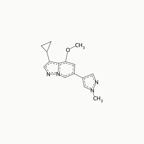 COc1cc(-c2cnn(C)c2)cn2ncc(C3CC3)c12